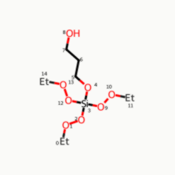 CCOO[Si](OCCCO)(OOCC)OOCC